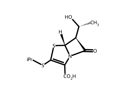 CC(C)SC1=C(C(=O)O)N2C(=O)[C@H]([C@@H](C)O)[C@H]2S1